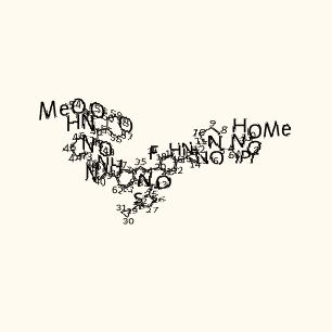 COC(=O)N[C@H](C(=O)N1CCC[C@H]1c1ncc(-c2cc(F)c3c(c2)OC(c2ccc(C4CC4)s2)n2c-3cc3cc(-c4cnc([C@@H]5CCCN5C(=O)[C@@H](NC(=O)OC)C5CCOCC5)[nH]4)ccc32)[nH]1)C(C)C